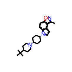 Cc1noc2ccc3c(ccn3[C@H]3CC[C@@H](N4CCC(C(C)(C)C)CC4)CC3)c12